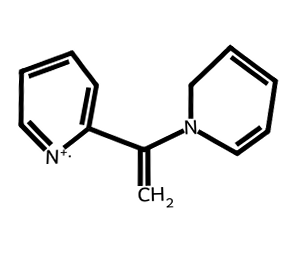 C=C(C1=CC=CC=[N+]1)N1C=CC=CC1